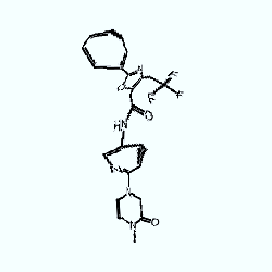 CN1CCN(c2ccc(NC(=O)c3oc(-c4ccccc4)nc3C(F)(F)F)cn2)CC1=O